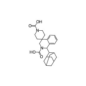 O=C(O)N1CCC2(CC1)CN(C(=O)O)C(C1C3CC4CC(C3)CC1C4)c1ccccc12